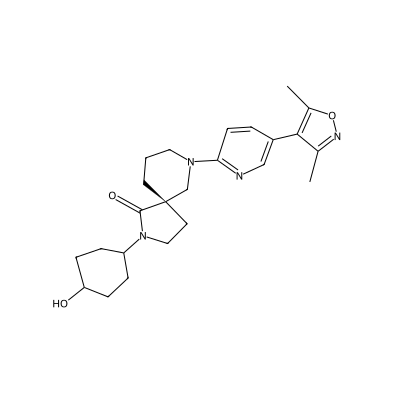 Cc1noc(C)c1-c1ccc(N2CCC[C@]3(CCN(C4CCC(O)CC4)C3=O)C2)nc1